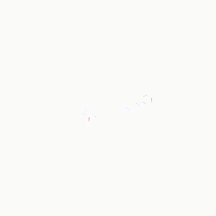 O=C(NC[C@H]1CC[C@H](CCN2CCN(c3cccc(Cl)c3Cl)CC2)CC1)NC1CCC(F)(F)CC1